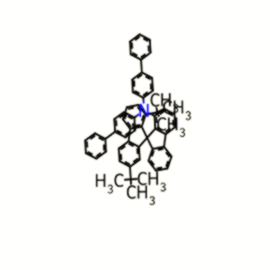 CC(C)(C)c1ccc2c(c1)C1(c3ccccc3-c3cccc(N(c4ccc(-c5ccccc5)cc4)c4ccc(-c5ccccc5)cc4)c31)c1c-2cccc1C(C)(C)C